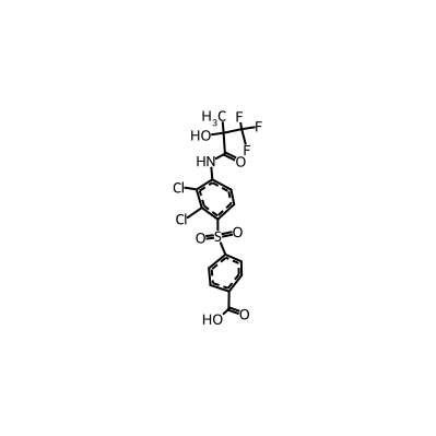 CC(O)(C(=O)Nc1ccc(S(=O)(=O)c2ccc(C(=O)O)cc2)c(Cl)c1Cl)C(F)(F)F